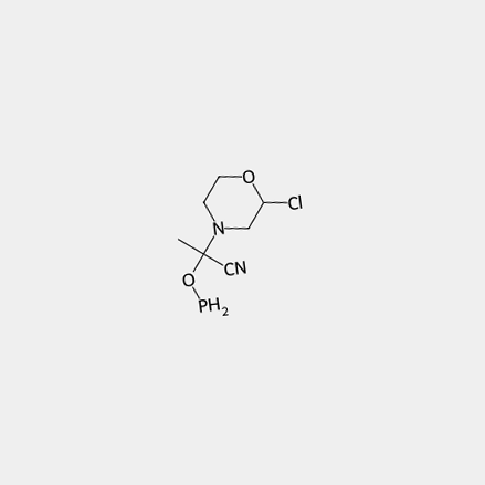 CC(C#N)(OP)N1CCOC(Cl)C1